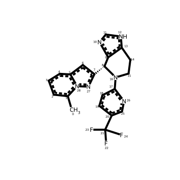 Cc1cccc2cc([C@@H]3c4nc[nH]c4CCN3c3ccc(C(F)(F)F)cn3)nn12